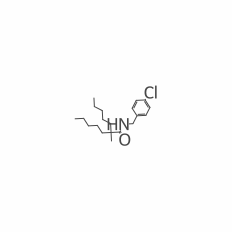 CCCCCC(C)(CCCCC)C(=O)NCc1ccc(Cl)cc1